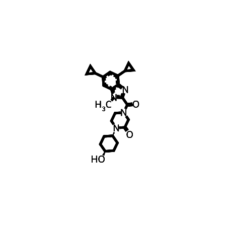 Cn1c(C(=O)N2CCN([C@H]3CC[C@H](O)CC3)C(=O)C2)nc2c(C3CC3)cc(C3CC3)cc21